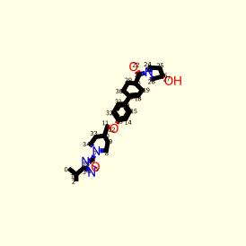 CC(C)c1noc(N2CCC(COc3ccc(C4=CCC(C(=O)N5CCC(O)C5)CC4)cc3)CC2)n1